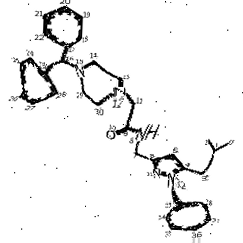 CC(C)Cc1cc(CNC(=O)CN2CCN(C(c3ccccc3)c3ccccc3)CC2)nn1-c1ccccc1